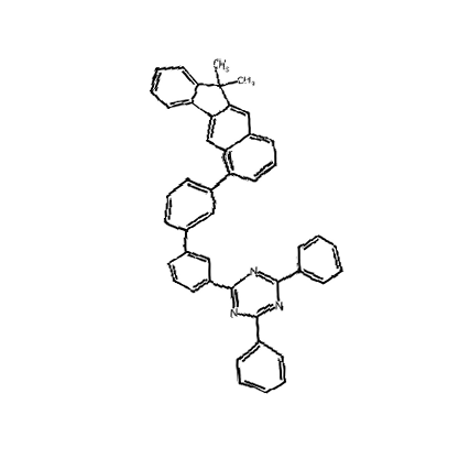 CC1(C)c2ccccc2-c2cc3c(-c4cccc(-c5cccc(-c6nc(-c7ccccc7)nc(-c7ccccc7)n6)c5)c4)cccc3cc21